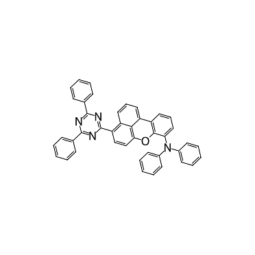 c1ccc(-c2nc(-c3ccccc3)nc(-c3ccc4c5c(cccc35)-c3cccc(N(c5ccccc5)c5ccccc5)c3O4)n2)cc1